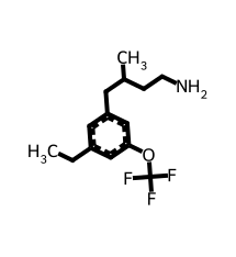 CCc1cc(CC(C)CCN)cc(OC(F)(F)F)c1